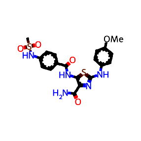 COc1ccc(Nc2nc(C(N)=O)c(NC(=O)c3ccc(NS(C)(=O)=O)cc3)s2)cc1